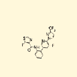 O=C(Nc1ccccc1-c1cnc(-n2ccc(C(F)(F)F)n2)c(F)c1)c1ncsc1I